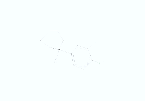 CC(=O)C1(c2ccc(Cl)c(Cl)c2)CCCCC1